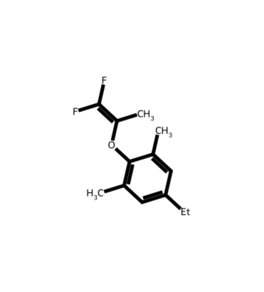 CCc1cc(C)c(OC(C)=C(F)F)c(C)c1